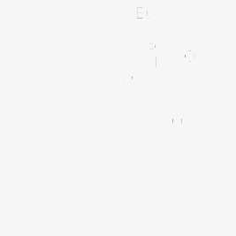 CC[PH](=O)OC(=O)c1c(C)cc(C)cc1C